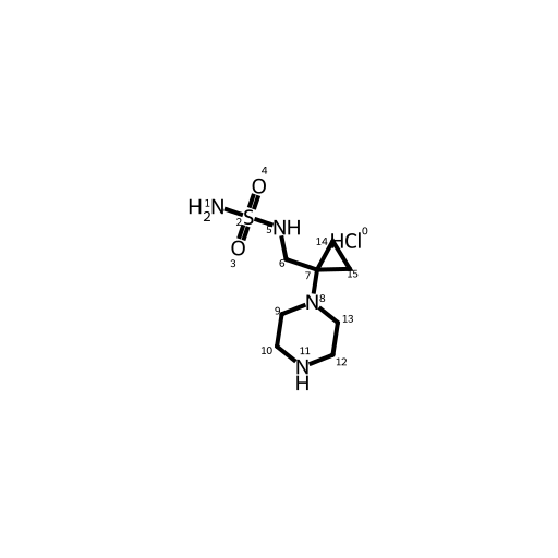 Cl.NS(=O)(=O)NCC1(N2CCNCC2)CC1